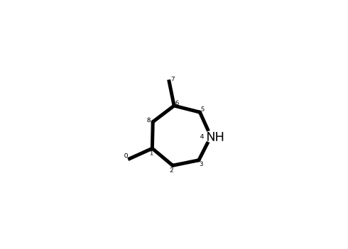 CC1CCNCC(C)C1